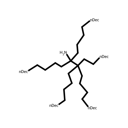 CCCCCCCCCCCCCCC(N)(CCCCCCCCCCCCCC)C(CCCCCCCCCCCC)(CCCCCCCCCCCCCC)CCCCCCCCCCCCCC